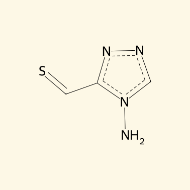 Nn1cnnc1C=S